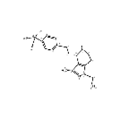 CCn1nc(C)c2c1CCN[C@H]2CCc1ccc(C(F)(F)F)cc1